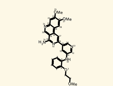 COCCOc1ccccc1Nc1cncc(-c2cc3c(cnc4cc(OC)c(OC)cc43)c(N)n2)c1